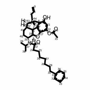 C=CCN1CC[C@]23c4c5c(O)cc(OC(C)=O)c4O[C@H]2[C@H](N(C(=O)CCCCCCCc2ccccc2)C(C)C)CC[C@H]3[C@H]1C5